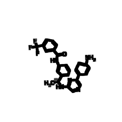 C[C@H](Nc1cncc(-c2ccc(N)cc2)n1)c1cccc(NC(=O)c2cccc(C(F)(F)F)c2)c1